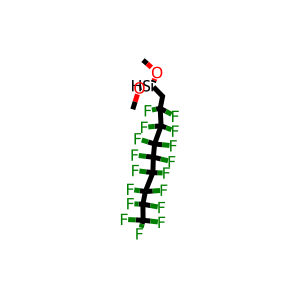 CO[SiH](CC(F)(F)C(F)(F)C(F)(F)C(F)(F)C(F)(F)C(F)(F)C(F)(F)C(F)(F)F)OC